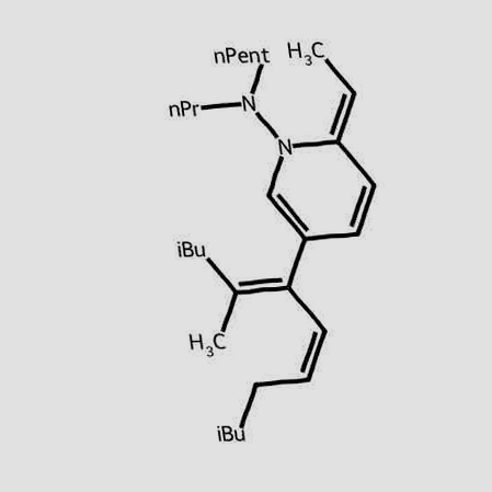 C/C=C1/C=CC(C(/C=C\CC(C)CC)=C(/C)C(C)CC)=CN1N(CCC)CCCCC